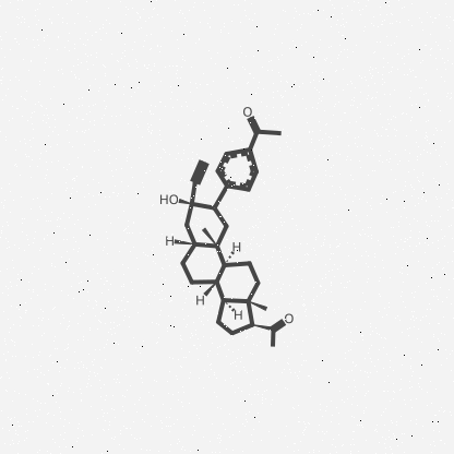 C#C[C@@]1(O)C[C@H]2CC[C@@H]3[C@H](CC[C@]4(C)[C@@H](C(C)=O)CC[C@@H]34)[C@@]2(C)CC1c1ccc(C(C)=O)cc1